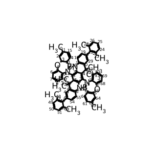 CC1=CC2Oc3ccccc3N3B(C2C#C1)N1c2ccc(-c4c(C)cccc4C)cc2C(C)(C)c2c4c5c(c3c21)C(C)(C)c1cc(-c2c(C)cccc2C)ccc1N5B1c2ccc(C)cc2Oc2ccccc2N14